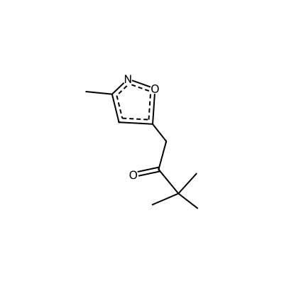 Cc1cc(CC(=O)C(C)(C)C)on1